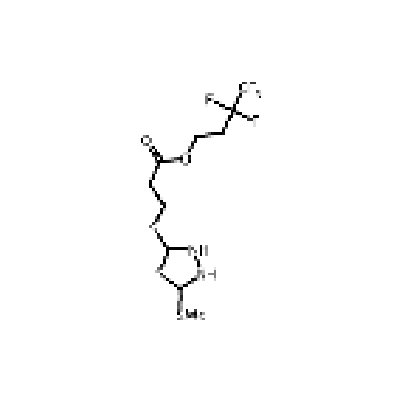 CSC1NNC(SCCC(=O)OCCC(F)(F)C(F)(F)F)S1